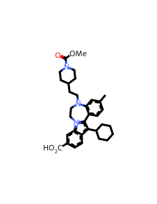 COC(=O)N1CCC(CCN2CCn3c(c(C4CCCCC4)c4ccc(C(=O)O)cc43)-c3ccc(C)cc32)CC1